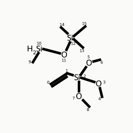 C=C[Si](OC)(OC)OC.C[SiH2]O[Si](C)(C)C